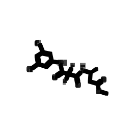 COC(=O)C[C@H](C)NC(=O)C(F)(F)C(=O)Nc1cc(Cl)cc(Cl)c1